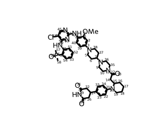 COc1cc(N2CCC(N3CCN(C(=O)CC4CCCCN4c4ccc(C5CC(=O)NC(=O)C5)cc4)CC3)CC2)ccc1Nc1ncc(Cl)c(Nc2ccccc2P(C)(C)=O)n1